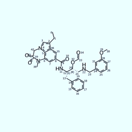 CCc1cn2c3c(cc(C(=O)N[C@@H](Cc4ccccc4)[C@@H](CNCc4cccc(OC)c4)OC=O)cc13)N(C)S(=O)(=O)C2